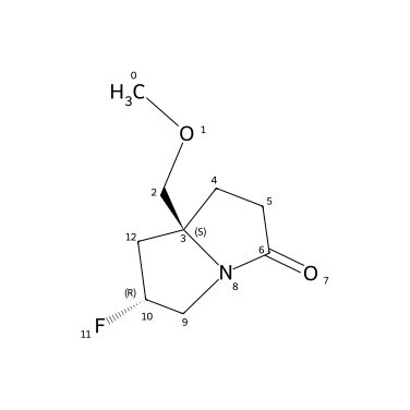 COC[C@@]12CCC(=O)N1C[C@H](F)C2